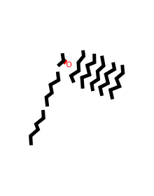 CC(C)=O.CCCCCC.CCCCCC.CCCCCC.CCCCCC.CCCCCC.CCCCCC.CCCCCC